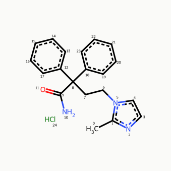 Cc1nccn1CCC(C(N)=O)(c1ccccc1)c1ccccc1.Cl